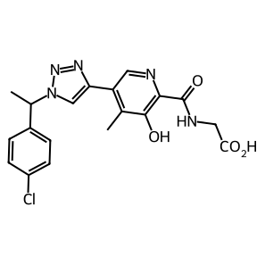 Cc1c(-c2cn(C(C)c3ccc(Cl)cc3)nn2)cnc(C(=O)NCC(=O)O)c1O